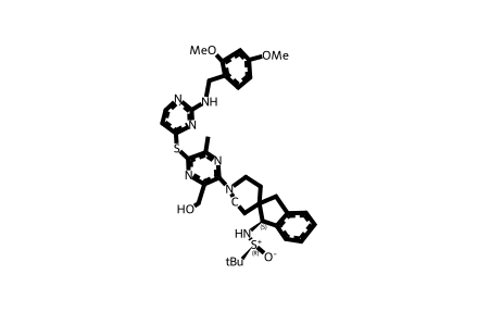 COc1ccc(CNc2nccc(Sc3nc(CO)c(N4CCC5(CC4)Cc4ccccc4[C@H]5N[S@@+]([O-])C(C)(C)C)nc3C)n2)c(OC)c1